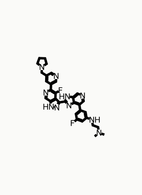 CN(C)CCNc1cc(F)cc(-c2cncc3[nH]c(-c4n[nH]c5cnc(-c6cncc(CN7CCCC7)c6)c(F)c45)nc23)c1